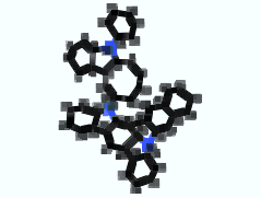 C1=C\c2c(c3ccccc3n2-c2ccccc2)/C=C(/n2c3ccccc3c3cc4c5ccccc5n5c6cc7ccccc7cc6c(c32)c45)CC/1